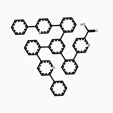 O=C(O)c1ccc(-c2ccccc2-c2cc(-c3ccccc3-c3ccc(-c4ccccc4)nc3)cc(-c3ccccc3-c3ccc(-c4ccccc4)nc3)c2)cn1